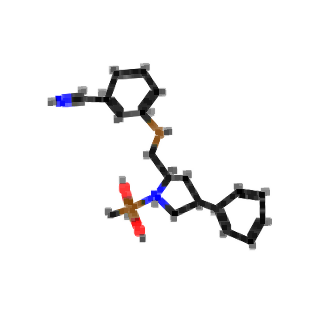 CS(=O)(=O)N1CC(c2ccccc2)CC1CSc1cccc(C#N)c1